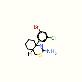 NC1=N[C@@]2(c3cc(Cl)cc(Br)c3)CCCC[C@H]2CS1